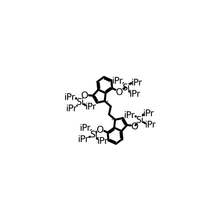 CC(C)[Si](OC1=C[C](CC[C]2C=C(O[Si](C(C)C)(C(C)C)C(C)C)c3cccc(O[Si](C(C)C)(C(C)C)C(C)C)c32)c2c(O[Si](C(C)C)(C(C)C)C(C)C)cccc21)(C(C)C)C(C)C